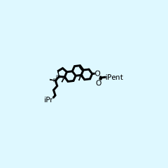 CCCC(C)C(=O)OC1CC[C@@]2(C)C(=CCC3C2CC[C@@]2(C)C3CC[C@@H]2[C@H](C)CCCC(C)C)C1